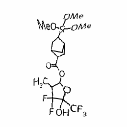 CO[Si](OC)(OC)C1CC2CC1CC2C(=O)OC1OC(O)(C(F)(F)F)C(F)(F)C1C